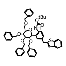 CC(C)(C)OC(=O)Nc1ccc(Cc2cc3ccccc3s2)cc1[C@@H]1O[C@H](COCc2ccccc2)[C@@H](OCc2ccccc2)[C@H](OCc2ccccc2)[C@H]1OCc1ccccc1